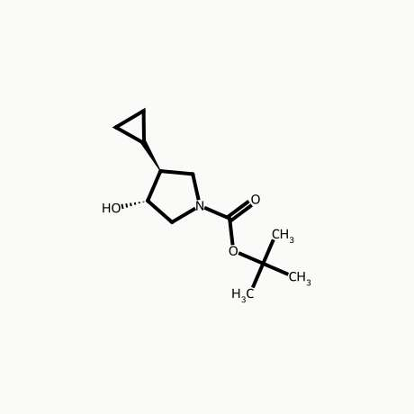 CC(C)(C)OC(=O)N1C[C@H](C2CC2)[C@@H](O)C1